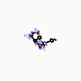 C=Cc1ccc(C#Cc2nc(C)c(C(=O)N[C@@H](CCN)C(=O)Nc3c(C)cc4cc3-c3cccc(c3)CC(=O)NCC(=O)NC(C(N)=O)C4)c(C)n2)cc1